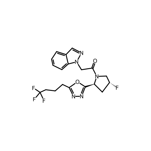 O=C(Cn1ncc2ccccc21)N1C[C@H](F)C[C@H]1c1nnc(CCCC(F)(F)F)o1